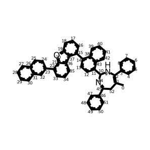 CC1=C(c2ccccc2)NC(c2ccc(-c3cccc4oc5c(-c6ccc7ccccc7c6)cccc5c34)c3ccccc23)N=C(c2ccccc2)C1